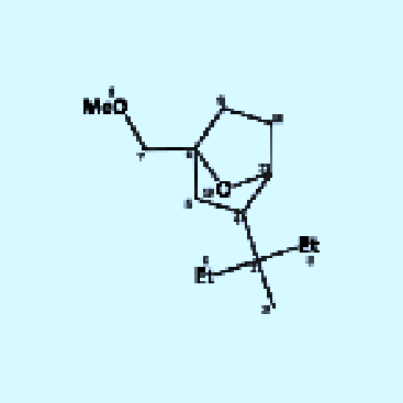 CCC(C)(CC)C1CC2(COC)CCC1O2